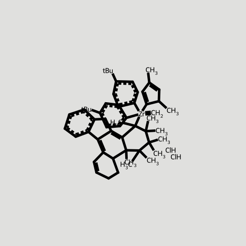 Cl.Cl.[CH2]=[Zr]([C]1=CC(C)=CC1C)([c]1ccc(C(C)(C)C)cc1)([c]1ccc(C(C)(C)C)cc1)[C]1(C)C2=C3Cc4ccccc4C3=C3C=CCCC3C2(C)C(C)(C)C(C)(C)C1(C)C